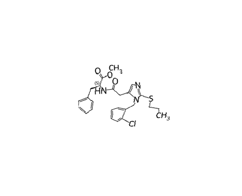 CCCSc1ncc(CC(=O)N[C@@H](Cc2ccccc2)C(=O)OC)n1Cc1ccccc1Cl